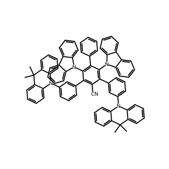 CC1(C)c2ccccc2N(c2cccc(-c3c(C#N)c(-c4cccc(N5c6ccccc6C(C)(C)c6ccccc65)c4)c(-n4c5ccccc5c5ccccc54)c(-c4ccccc4)c3-n3c4ccccc4c4ccccc43)c2)c2ccccc21